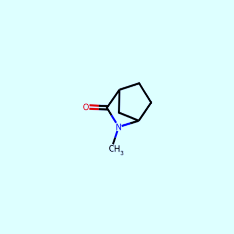 CN1C(=O)C2CCC1C2